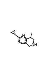 CC1CNCc2ccc(C3CC3)nc21